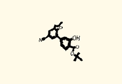 Cc1cc2cc(C#N)cc(-c3ccc(C(=O)OC(C)(C)C)c(O)c3)c2o1